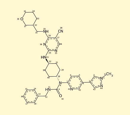 Cn1cc(-c2ccc(N(C(=O)NCc3ccccc3)[C@H]3CC[C@H](Nc4ncc(C#N)c(NCC5CCCOC5)n4)CC3)nc2)cn1